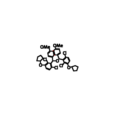 COc1ccc(C(OC(c2ccc(OC)cc2)c2c(Cl)ccc(OC3CCCC3)c2Cl)c2c(Cl)ccc(OC3CCCC3)c2Cl)cc1